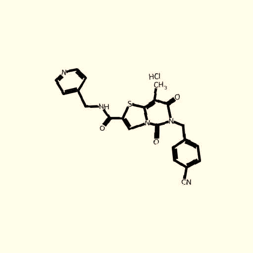 Cc1c(=O)n(Cc2ccc(C#N)cc2)c(=O)n2cc(C(=O)NCc3ccncc3)sc12.Cl